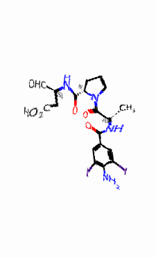 C[C@H](NC(=O)c1cc(I)c(N)c(I)c1)C(=O)N1CCC[C@H]1C(=O)N[C@H](C=O)CC(=O)O